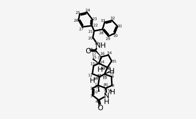 C[C@]12C=CC(=O)N[C@@H]1CC[C@@H]1[C@@H]2CC[C@]2(C)[C@@H](C(=O)NCC(c3ccccc3)c3ccccc3)CC[C@@H]12